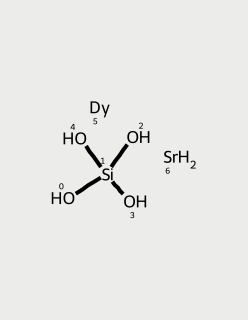 O[Si](O)(O)O.[Dy].[SrH2]